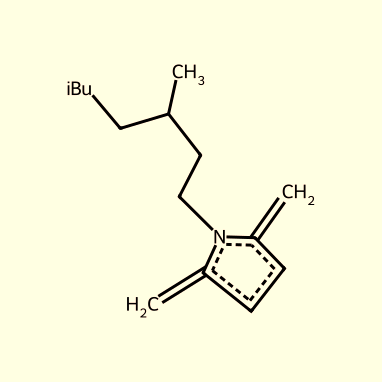 C=c1ccc(=C)n1CCC(C)CC(C)CC